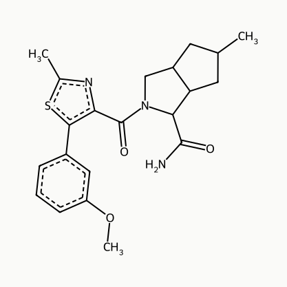 COc1cccc(-c2sc(C)nc2C(=O)N2CC3CC(C)CC3C2C(N)=O)c1